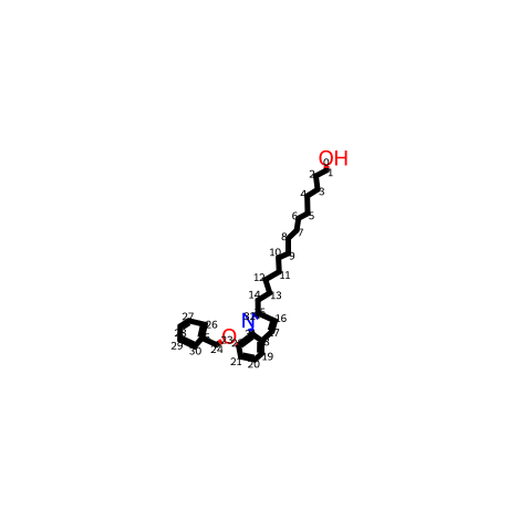 OCCCCCCCCCCCCCCc1ccc2cccc(OCc3ccccc3)c2n1